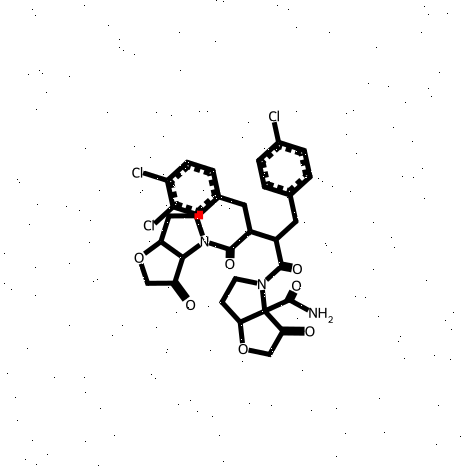 NC(=O)C12C(=O)COC1CCN2C(=O)C(Cc1ccc(Cl)cc1)[C](Cc1ccc(Cl)c(Cl)c1)C(=O)N1CCC2OCC(=O)C21